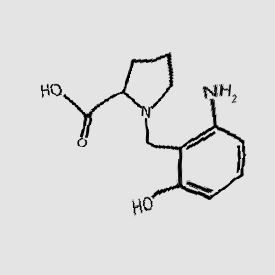 Nc1cccc(O)c1CN1CCCC1C(=O)O